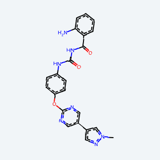 Cn1cc(-c2cnc(Oc3ccc(NC(=O)NC(=O)c4ccccc4N)cc3)nc2)cn1